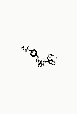 CCC1(CON(C)OCc2ccc(C)cc2)COC1